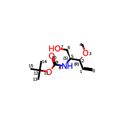 C=C[C@@H](OC)[C@H](CO)NC(=O)OC(C)(C)C